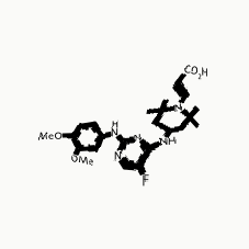 COc1ccc(Nc2ncc(F)c(NC3CC(C)(C)N(/C=C/C(=O)O)C(C)(C)C3)n2)cc1OC